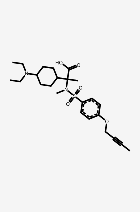 CC#CCOc1ccc(S(=O)(=O)N(C)C(C)(C(=O)O)C2CCC(N(CC)CC)CC2)cc1